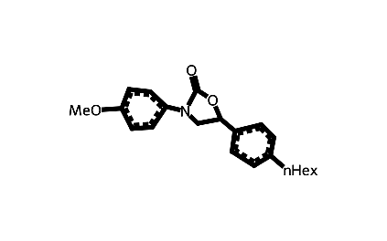 CCCCCCc1ccc(C2CN(c3ccc(OC)cc3)C(=O)O2)cc1